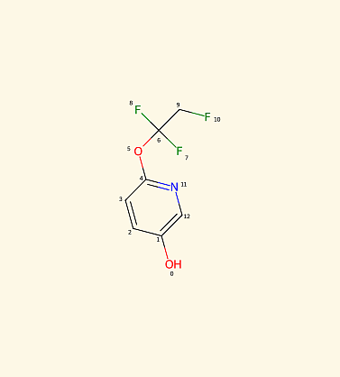 Oc1ccc(OC(F)(F)CF)nc1